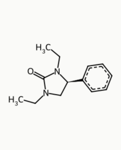 CCN1C[C@H](c2ccccc2)N(CC)C1=O